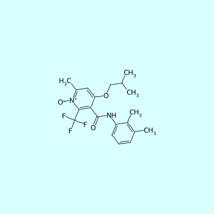 Cc1cccc(NC(=O)c2c(OCC(C)C)cc(C)[n+]([O-])c2C(F)(F)F)c1C